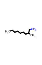 CCCCCCCC(C)CN